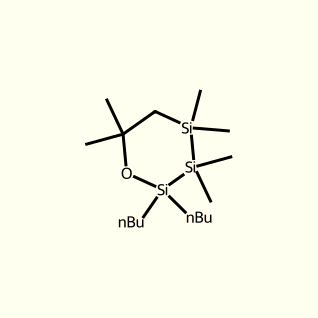 CCCC[Si]1(CCCC)OC(C)(C)C[Si](C)(C)[Si]1(C)C